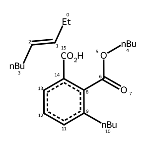 CCC=CCCCC.CCCCOC(=O)c1c(CCCC)cccc1C(=O)O